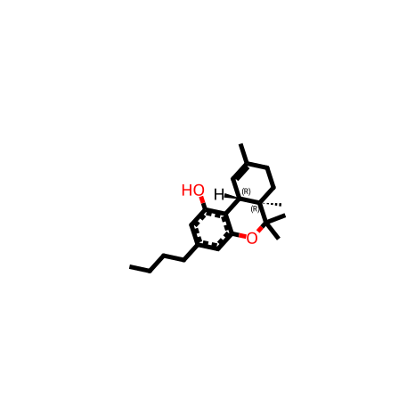 CCCCc1cc(O)c2c(c1)OC(C)(C)[C@]1(C)CCC(C)=C[C@@H]21